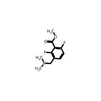 COC(=O)c1c(F)ccc(CN(C)C)c1F